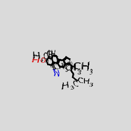 CC(C)CCC[C@@H](C)[C@H]1CC=C2C3=C(CC[C@@]21C)[C@@]1(C)[C@@H](C#N)C[C@@H](O)C(C)(C)[C@@H]1CC3